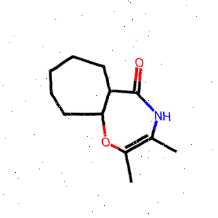 CC1=C(C)OC2CCCCCC2C(=O)N1